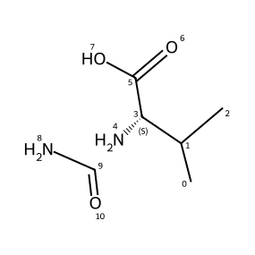 CC(C)[C@H](N)C(=O)O.NC=O